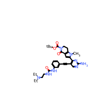 CCN(CC)CCNC(=O)Nc1cccc(C#Cc2cnc(N)nc2-c2cc3c(n2C)CCN(C(=O)OC(C)(C)C)C3=O)c1